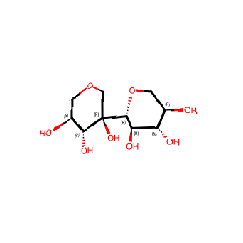 O[C@@H]1[C@@H](O)[C@H]([C@@]2(O)CO[CH][C@H](O)[C@H]2O)OC[C@H]1O